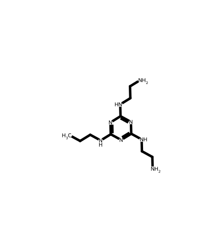 CCCNc1nc(NCCN)nc(NCCN)n1